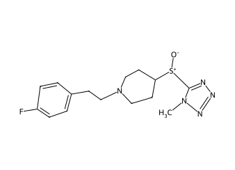 Cn1nnnc1[S+]([O-])C1CCN(CCc2ccc(F)cc2)CC1